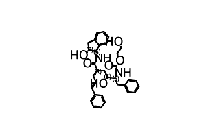 O=C(N[C@@H](Cc1ccccc1)[C@@H](O)C[C@@H](CC=Cc1ccccc1)C(=O)N[C@H]1c2ccccc2C[C@H]1O)OCCO